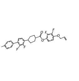 C=CCOc1ccc(OC(=O)C2CCC(c3ccc(-c4ccc(C)cc4)c(F)c3F)CC2)c(F)c1F